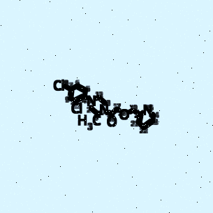 CC1CN(c2ccc(Cl)cc2Cl)CCN1C(=O)COCc1ccccn1